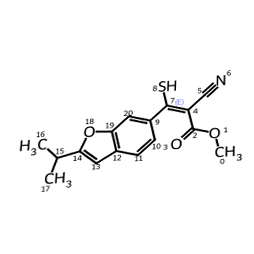 COC(=O)/C(C#N)=C(/S)c1ccc2cc(C(C)C)oc2c1